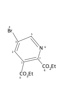 CCOC(=O)c1cc(Br)cnc1C(=O)OCC